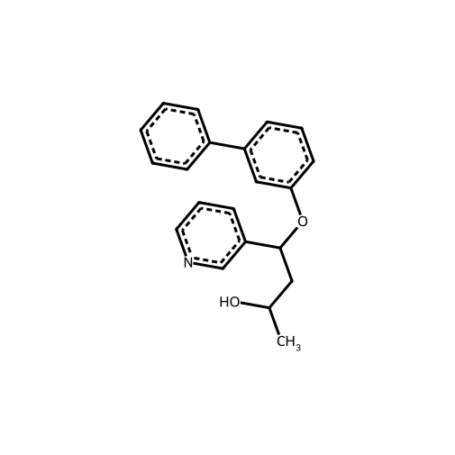 CC(O)CC(Oc1cccc(-c2ccccc2)c1)c1cccnc1